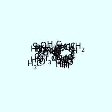 C=C1C[C@@H]2CC[C@@]34CC5OC6C(O[C@H]7CC[C@H](CC(=O)C[C@@H]8[C@@H](OC)[C@@H](C[C@H](O)CNC(=O)CNC(=O)[C@H](Cc9ccccc9)NC(=O)CNC(=O)CNC(C)=O)O[C@H]8C[C@H]8O[C@@H](CC[C@@H]1O2)C[C@@H](C)C8=C)O[C@@H]7[C@@H]6O3)[C@H]5O4